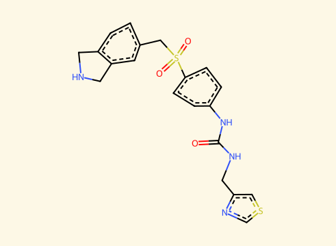 O=C(NCc1cscn1)Nc1ccc(S(=O)(=O)Cc2ccc3c(c2)CNC3)cc1